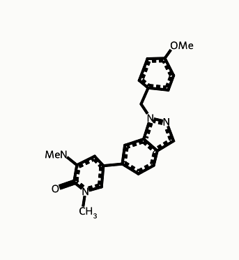 CNc1cc(-c2ccc3cnn(Cc4ccc(OC)cc4)c3c2)cn(C)c1=O